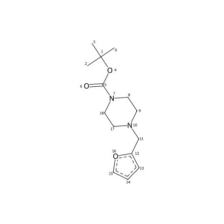 CC(C)(C)OC(=O)N1CCN(Cc2ccco2)CC1